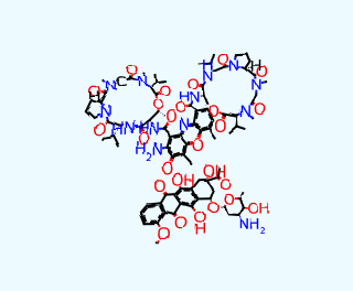 COc1cccc2c1C(=O)c1c(O)c3c(c(O)c1C2=O)C[C@@](O)(C(C)=O)C[C@@H]3O[C@H]1C[C@H](N)[C@H](O)[C@H](C)O1.Cc1c2oc3c(C)ccc(C(=O)N[C@@H]4C(=O)N[C@H](C(C)C)C(=O)N5CCC[C@H]5C(=O)N(C)CC(=O)N(C)[C@@H](C(C)C)C(=O)O[C@@H]4C)c3nc-2c(C(=O)N[C@@H]2C(=O)N[C@H](C(C)C)C(=O)N3CCC[C@H]3C(=O)N(C)CC(=O)N(C)[C@@H](C(C)C)C(=O)O[C@@H]2C)c(N)c1=O